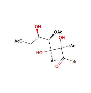 CC(=O)OC[C@@H](O)[C@@H](OC(C)=O)[C@@](O)(C(C)=O)[C@](O)(C(C)=O)C(=O)Br